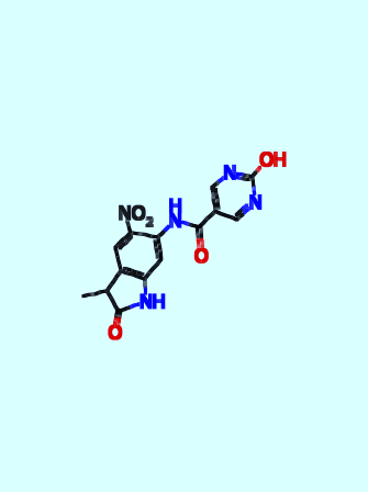 CC1C(=O)Nc2cc(NC(=O)c3cnc(O)nc3)c([N+](=O)[O-])cc21